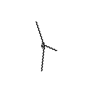 CCCCCCCCCCCCCCCCN1C=CN(CCCCCCCCCCCCCCCC)C1CCCCCCCCC